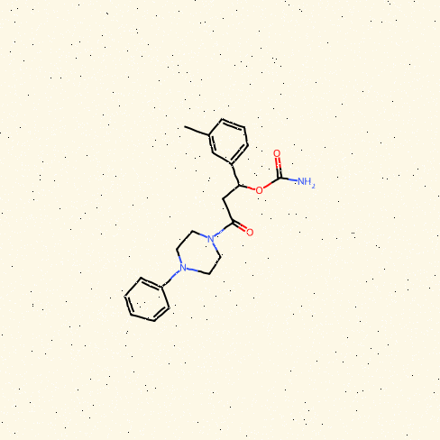 Cc1cccc(C(CC(=O)N2CCN(c3ccccc3)CC2)OC(N)=O)c1